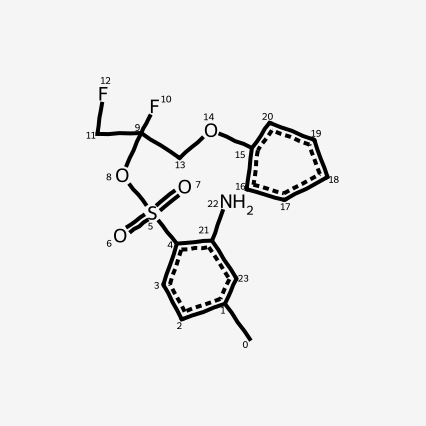 Cc1ccc(S(=O)(=O)OC(F)(CF)COc2ccccc2)c(N)c1